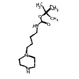 CC(C)(C)OC(=O)NCCCCN1CCNCC1